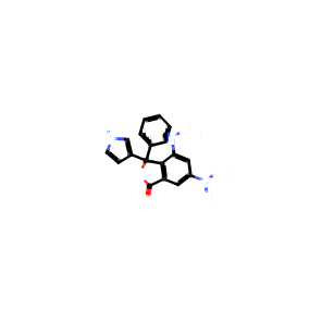 CN(C)c1cc2c(c(N(C)C)c1)C(c1ccccc1)(c1ccn(C)c1)OC2=O